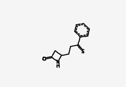 O=C1CC(CCC(=S)c2ccccc2)N1